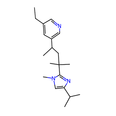 CCc1cncc(C(C)CC(C)(C)c2nc(C(C)C)cn2C)c1